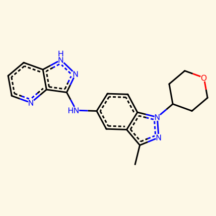 Cc1nn(C2CCOCC2)c2ccc(Nc3n[nH]c4cccnc34)cc12